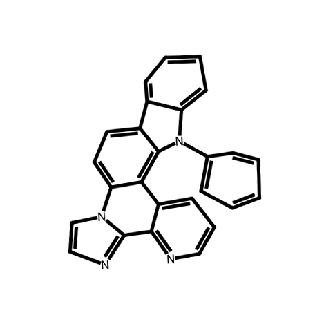 c1ccc(-n2c3ccccc3c3ccc4c(c5cccnc5c5nccn45)c32)cc1